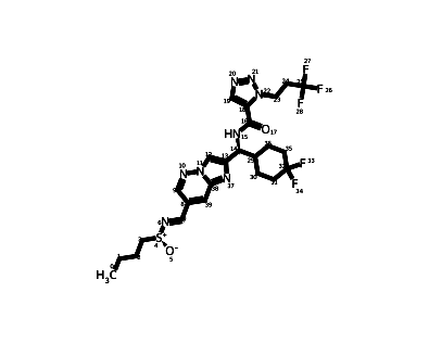 CCCC[S@+]([O-])/N=C/c1cnn2cc([C@@H](NC(=O)c3cnnn3CCC(F)(F)F)C3CCC(F)(F)CC3)nc2c1